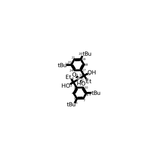 CCC(O)(c1cc(C(C)(C)C)cc(C(C)(C)C)c1)P(=O)(O)C(O)(CC)c1cc(C(C)(C)C)cc(C(C)(C)C)c1